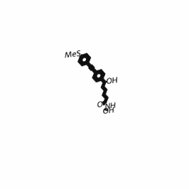 CSc1ccc(C#Cc2ccc([C@@H](O)CCCCC(=O)NO)cc2)cc1